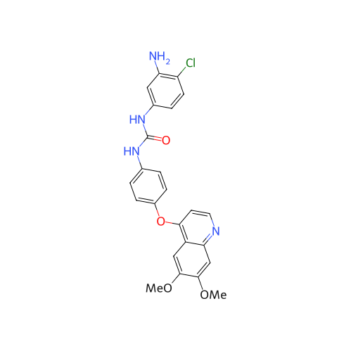 COc1cc2nccc(Oc3ccc(NC(=O)Nc4ccc(Cl)c(N)c4)cc3)c2cc1OC